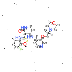 COc1c(F)cccc1NC(=S)C1=C(NCc2ccncc2OCC(C)(C)N2CCOCC2)CCNC1=O